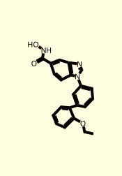 CCOc1ccccc1-c1cccc(-n2cnc3cc(C(=O)NO)ccc32)c1